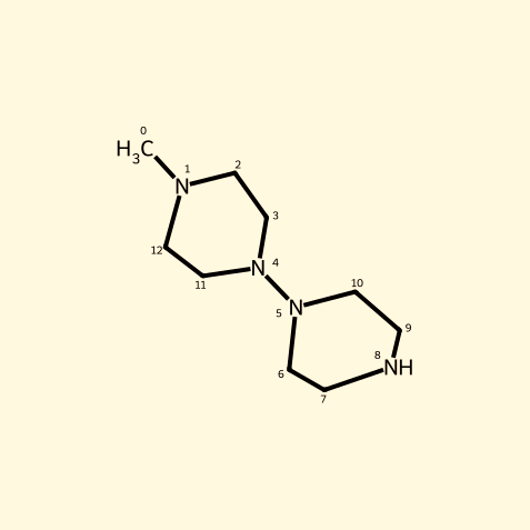 CN1CCN(N2CCNCC2)CC1